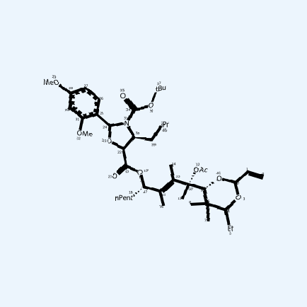 C=CC1OC(CC)C(C)(C)[C@H]([C@](C)(OC(C)=O)/C(C)=C(\C)[C@H](CCCCC)OC(=O)C2OC(c3ccc(OC)cc3OC)N(C(=O)OC(C)(C)C)[C@H]2CC(C)C)O1